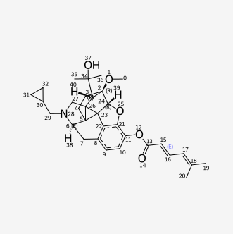 CO[C@@]12CCC34[C@H]5Cc6ccc(OC(=O)/C=C/C=C(C)C)c7c6C3([C@H]1O7)C4(CN5CC1CC1)[C@@H]2C(C)(C)O